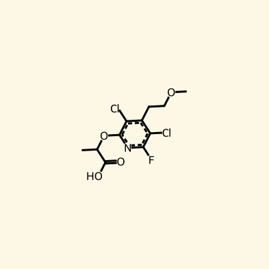 COCCc1c(Cl)c(F)nc(OC(C)C(=O)O)c1Cl